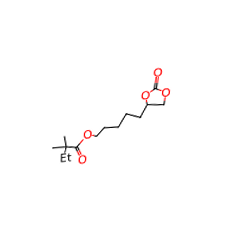 CCC(C)(C)C(=O)OCCCCCC1COC(=O)O1